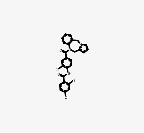 O=C(Nc1ccc(C(=O)N2Cc3cccn3Cc3ccccc32)cc1Cl)c1ccc(Cl)cc1Cl